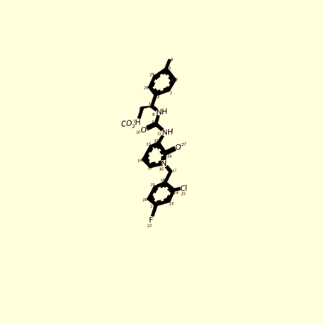 Cc1ccc([C@H](CC(=O)O)NC(=O)Nc2cccn(Cc3ccc(F)cc3Cl)c2=O)cc1